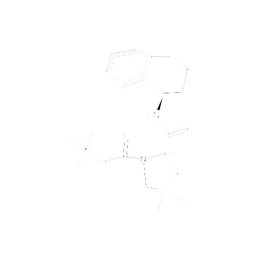 CC(C)(C)OC(=O)N1C[Si](C)(C)C[C@H]1C(=O)N[C@@H]1CCCc2ccccc21